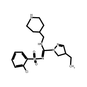 CCC1C=NN(/C(=N/S(=O)(=O)c2ccccc2Cl)NCC2CCNCC2)C1